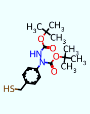 CC(C)(C)OC(=O)NN(C(=O)OC(C)(C)C)c1ccc(CS)cc1